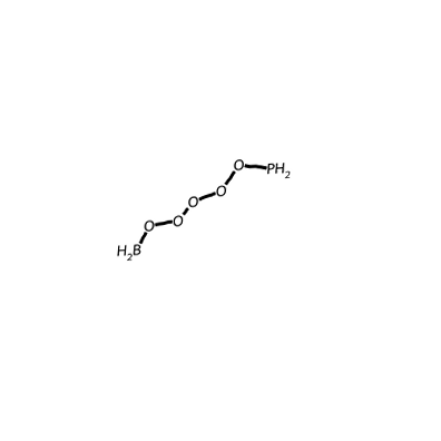 BOOOOOP